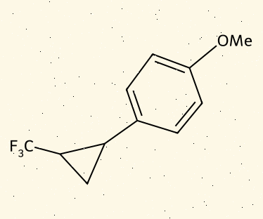 COc1ccc(C2CC2C(F)(F)F)cc1